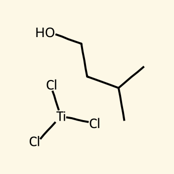 CC(C)CCO.[Cl][Ti]([Cl])[Cl]